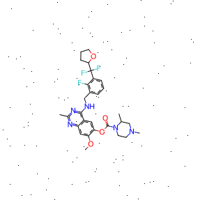 COc1cc2nc(C)nc(NCc3cccc(C(F)(F)C4CCCO4)c3F)c2cc1OC(=O)N1CCN(C)CC1C